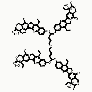 CCc1c2c(nc3ccc(OC(C=CCOCC=CC(Oc4ccc5nc6c(c(CC)c5c4)Cn4c-6cc5c(c4=O)COC(=O)[C@]5(O)CC)Oc4ccc5nc6c(c(CC)c5c4)Cn4c-6cc5c(c4=O)COC(=O)[C@]5(O)CC)Oc4ccc5nc6c(c(CC)c5c4)Cn4c-6cc5c(c4=O)COC(=O)[C@]5(O)CC)cc13)-c1cc3c(c(=O)n1C2)COC(=O)[C@]3(O)CC